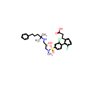 CN(C[C@@H](O)CNC(C)(C)CCCc1ccccc1)S(=O)(=O)c1ccc(-c2c(F)cccc2CCC(=O)O)c(Cl)c1